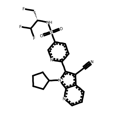 N#Cc1c(-c2ccc(S(=O)(=O)N[C@@H](CF)C(F)F)cn2)n(C2CCCC2)c2ncccc12